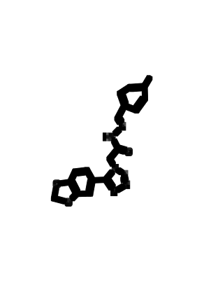 Cc1ccc(C=NNC(=O)Cn2nnnc2-c2ccc3c(c2)OCO3)cc1